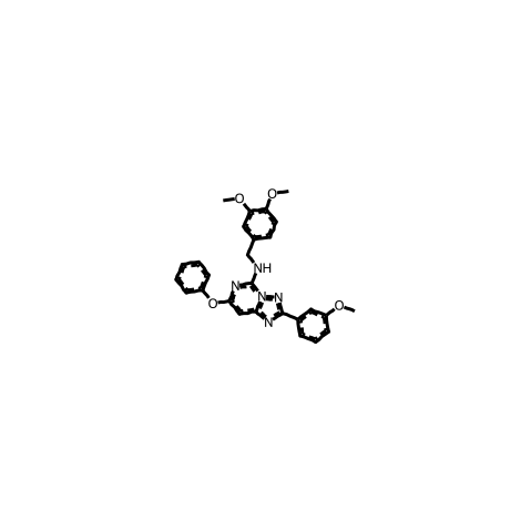 COc1cccc(-c2nc3cc(Oc4ccccc4)nc(NCc4ccc(OC)c(OC)c4)n3n2)c1